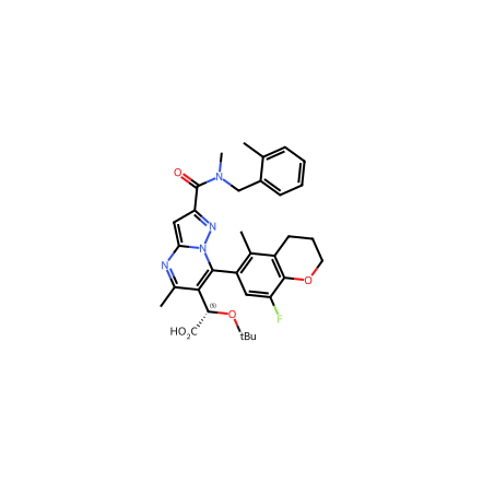 Cc1ccccc1CN(C)C(=O)c1cc2nc(C)c([C@H](OC(C)(C)C)C(=O)O)c(-c3cc(F)c4c(c3C)CCCO4)n2n1